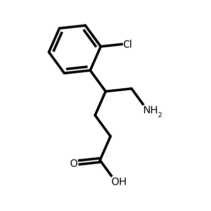 NCC(CCC(=O)O)c1ccccc1Cl